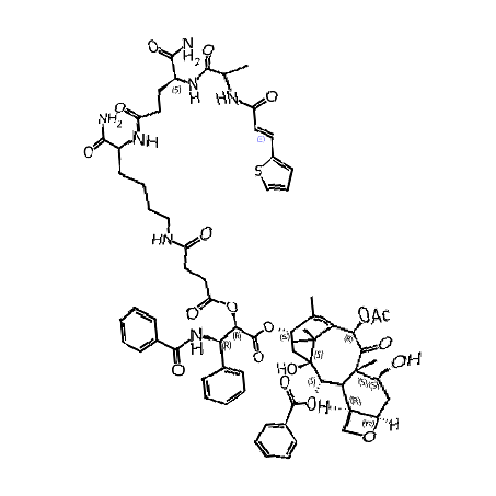 CC(=O)O[C@H]1C(=O)[C@@]2(C)C([C@@H]3CO[C@@H]3C[C@@H]2O)[C@H](OC(=O)c2ccccc2)[C@]2(O)C[C@H](OC(=O)[C@H](OC(=O)CCC(=O)NCCCCC(NC(=O)CC[C@H](NC(=O)C(C)NC(=O)/C=C/c3cccs3)C(N)=O)C(N)=O)[C@H](NC(=O)c3ccccc3)c3ccccc3)C(C)=C1C2(C)C